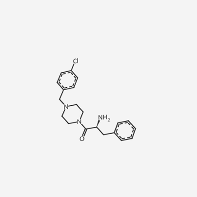 N[C@@H](Cc1ccccc1)C(=O)N1CCN(Cc2ccc(Cl)cc2)CC1